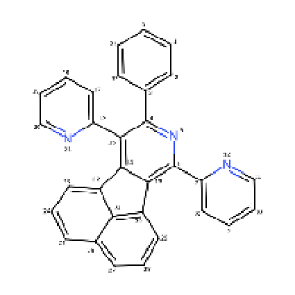 c1ccc(-c2nc(-c3ccccn3)c3c(c2-c2ccccn2)-c2cccc4cccc-3c24)cc1